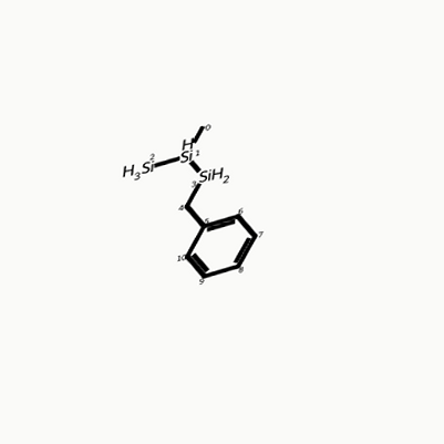 C[SiH]([SiH3])[SiH2]Cc1ccccc1